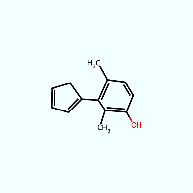 Cc1ccc(O)c(C)c1C1=CC=CC1